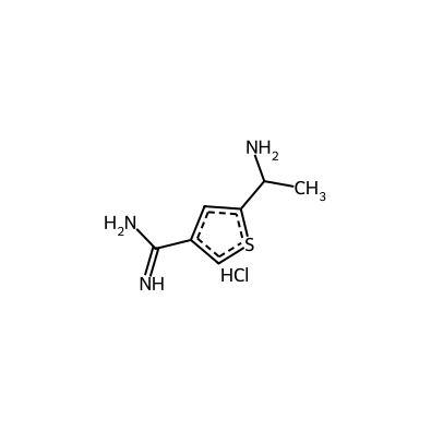 CC(N)c1cc(C(=N)N)cs1.Cl